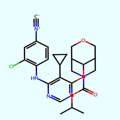 [C-]#[N+]c1ccc(Nc2ncnc(OC3C4COCC3CN(C(=O)OC(C)C)C4)c2C2CC2)c(Cl)c1